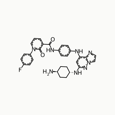 N[C@H]1CC[C@H](Nc2cc(Nc3ccc(NC(=O)c4cccn(-c5ccc(F)cc5)c4=O)cc3)c3nccn3n2)CC1